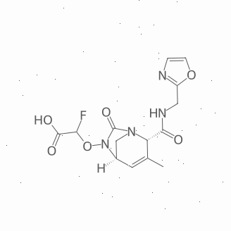 CC1=C[C@@H]2CN(C(=O)N2OC(F)C(=O)O)[C@@H]1C(=O)NCc1ncco1